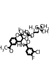 CC(=O)c1ccc2c(c1)[C@H](NC(=O)c1ccc(F)c(Cl)c1)[C@H](OC(=O)OCC[N+](C)(C)C)C(C)(C)O2.[I-]